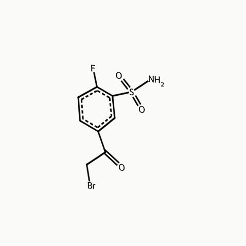 NS(=O)(=O)c1cc(C(=O)CBr)ccc1F